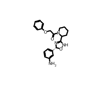 Nc1cccc([C@@H]2N=C(C3CCCCN3C(=O)COc3ccccc3)NO2)c1